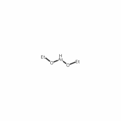 CCO[AsH]OCC